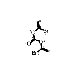 C=C(Br)OC(=O)OC(=C)Br